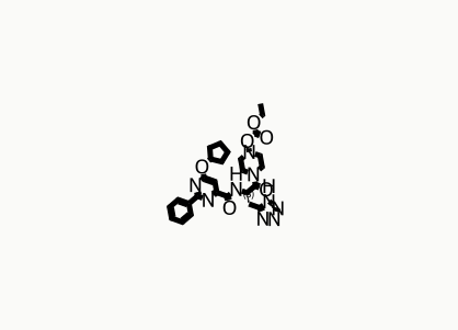 CCOC(=O)ON1CCN(C(=O)[C@H](Cc2nnn[nH]2)NC(=O)c2cc(OC3CCCC3)nc(-c3ccccc3)n2)CC1